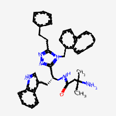 CC(C)(N)C(=O)N[C@H](Cc1c[nH]c2ccccc12)c1nnc(CCc2ccccc2)n1Cc1cccc2ccccc12